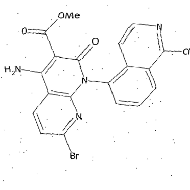 COC(=O)c1c(N)c2ccc(Br)nc2n(-c2cccc3c(Cl)nccc23)c1=O